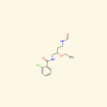 CCOC(CCNC=O)CNC(=O)c1ccccc1Cl